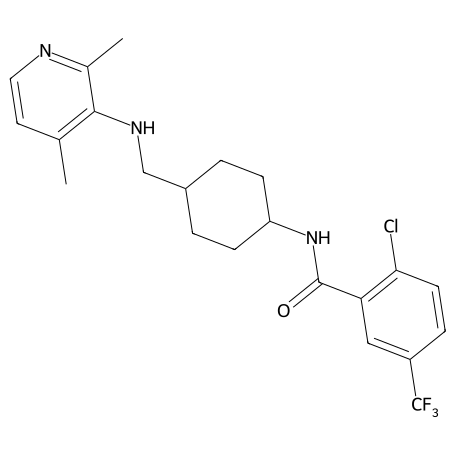 Cc1ccnc(C)c1NCC1CCC(NC(=O)c2cc(C(F)(F)F)ccc2Cl)CC1